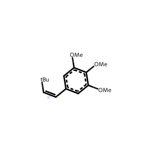 COc1cc(/C=C\C(C)(C)C)cc(OC)c1OC